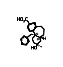 C[C@]1(O)CC[C@@]2(Cc3ccccc3)c3ccc(C(=O)O)cc3CCC[C@@H]2C1